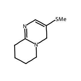 CSC1=CN=C2CCCCN2C1